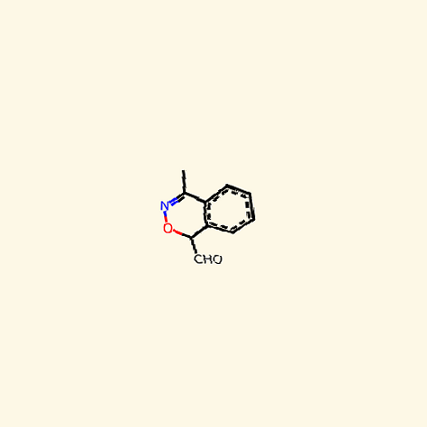 CC1=NOC(C=O)c2ccccc21